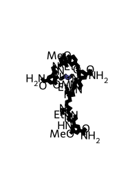 CCn1nc(C)cc1-c1ncc2c3cc(C(N)=O)cc(OC)c3n(C/C=C/Cn3c4nc(-c5cc(CCc6cc(-c7ncc8c(n7)[nH]c7c(OC)cc(C(N)=O)cc78)n(CC)n6)nn5CC)ncc4c4cc(C(N)=O)cc(OCc5ccc(OC)cc5)c43)c2n1